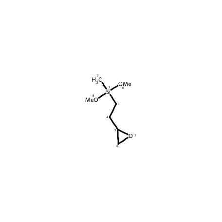 CO[Si](C)(CCC1CO1)OC